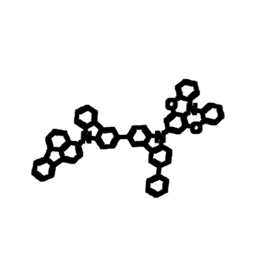 c1ccc(-c2ccc3c(c2)c2cc(-c4ccc5c(c4)c4ccccc4n5-c4ccc5c6c(cccc46)-c4ccccc4-5)ccc2n3-c2cc3c4c(c2)Oc2ccccc2N4c2ccccc2O3)cc1